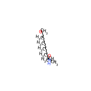 CCNC(C)(C)CC(=O)/C(C)=C/CC/C(C)=C/CC/C(C)=C/CC/C(C)=C/CCC(C)=O